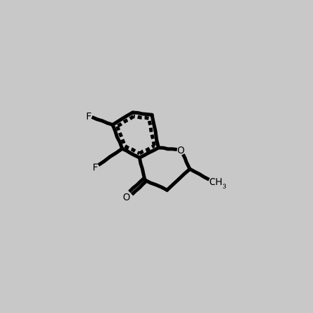 CC1CC(=O)c2c(ccc(F)c2F)O1